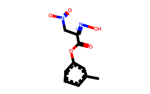 Cc1cccc(OC(=O)/C(C[N+](=O)[O-])=N\O)c1